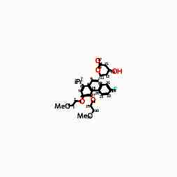 COCCOc1cc(C(C)C)c(C=C[C@H]2C[C@H](O)CC(=O)O2)c(-c2ccc(F)cc2)c1OCCOC